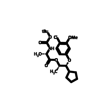 COc1cc(O[C@H](C2CCCC2)[C@H](C)OC(=O)[C@H](C)NC(=O)OC(C)(C)C)ccc1Cl